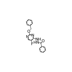 O=C(NNc1nc(OCc2ccccc2)ncc1F)c1ccccc1